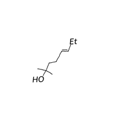 CCC=CCCC(C)(C)O